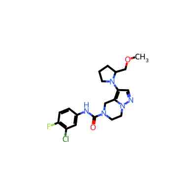 COCC1CCCN1c1cnn2c1CN(C(=O)Nc1ccc(F)c(Cl)c1)CC2